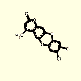 Cc1cc(=O)oc2cc3c(cc12)Oc1cc(Cl)c(Cl)cc1O3